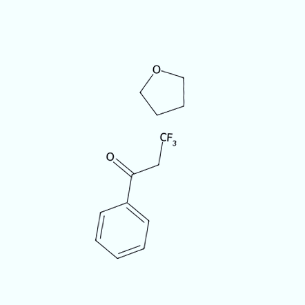 C1CCOC1.O=C(CC(F)(F)F)c1ccccc1